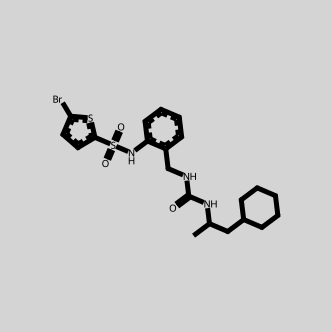 CC(CC1CCCCC1)NC(=O)NCc1ccccc1NS(=O)(=O)c1ccc(Br)s1